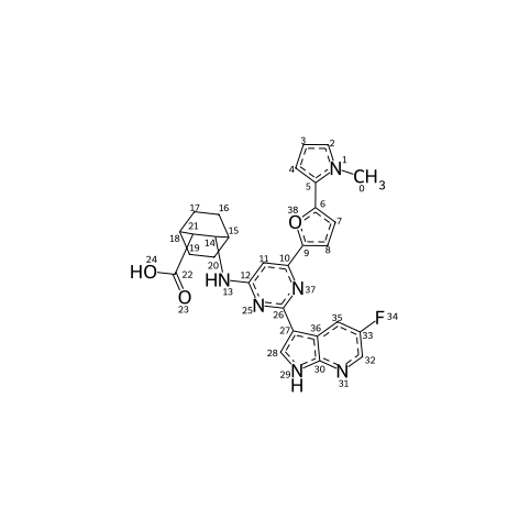 Cn1cccc1-c1ccc(-c2cc(NC3C4CCC(CC4)C3C(=O)O)nc(-c3c[nH]c4ncc(F)cc34)n2)o1